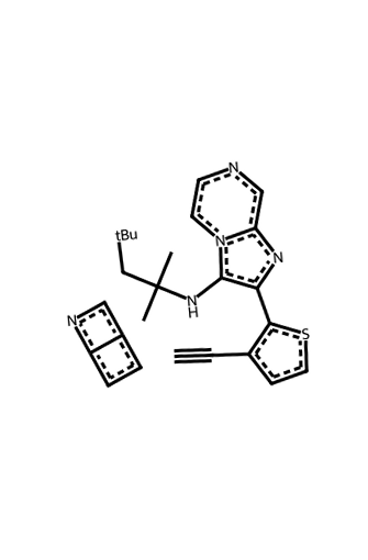 C#Cc1ccsc1-c1nc2cnccn2c1NC(C)(C)CC(C)(C)C.c1cc2ncc1-2